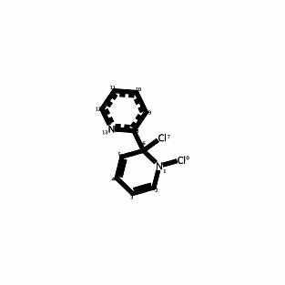 ClN1C=CC=CC1(Cl)c1ccccn1